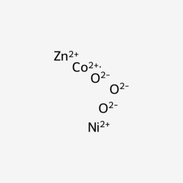 [Co+2].[Ni+2].[O-2].[O-2].[O-2].[Zn+2]